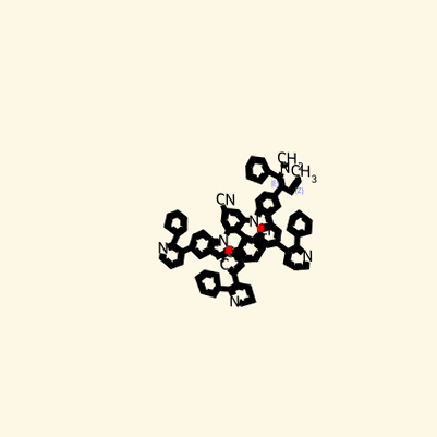 C=N/C(=C(\C=C/C)c1ccc2c(c1)c1cc(-c3cccnc3-c3ccccc3)ccc1n2-c1cc(C#N)cc(-n2c3ccc(-c4cccnc4-c4ccccc4)cc3c3cc(-c4cccnc4-c4ccccc4)ccc32)c1-c1c(C(F)(F)F)cccc1C(F)(F)F)c1ccccc1